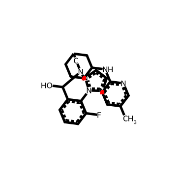 Cc1ccc(NC2CC3CCC2N(C(O)c2cccc(F)c2-n2nccn2)C3)nc1